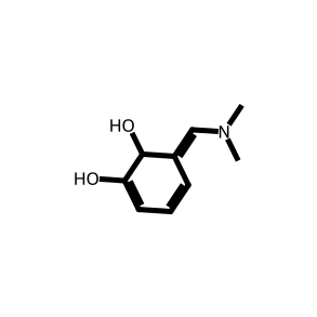 CN(C)C=C1C=CC=C(O)C1O